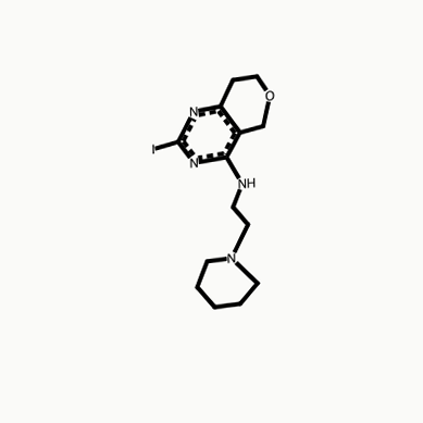 Ic1nc2c(c(NCCN3CCCCC3)n1)COCC2